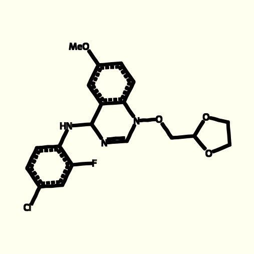 COc1ccc2c(c1)C(Nc1ccc(Cl)cc1F)N=CN2OCC1OCCO1